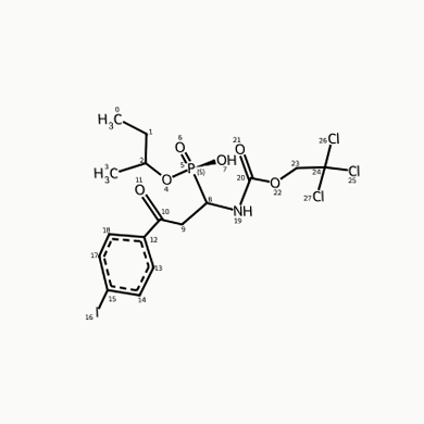 CCC(C)O[P@@](=O)(O)C(CC(=O)c1ccc(I)cc1)NC(=O)OCC(Cl)(Cl)Cl